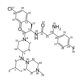 CC(C)CN(C1CCN(C(=O)[C@@H](Cc2ccc(Cl)cc2)NC(=O)CC(N)c2ccc(F)cc2)CC1)N1CCN(C)CC1